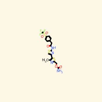 Cc1nc(COC(N)=O)sc1-c1csc(NC(=O)Cc2ccc(S(=O)(=O)C(F)(F)F)cc2)n1